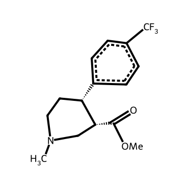 COC(=O)[C@@H]1CN(C)CC[C@@H]1c1ccc(C(F)(F)F)cc1